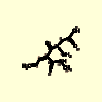 C=C/C=C(/C(=O)N(N)CC(=O)O)C(=S)NC